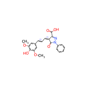 COc1cc(/C=C/C=C2\C(=O)N(c3ccccc3)N=C2C(=O)O)cc(OC)c1O